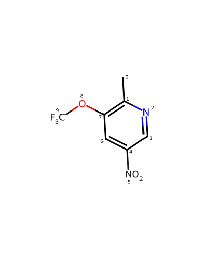 Cc1ncc([N+](=O)[O-])cc1OC(F)(F)F